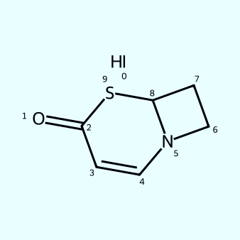 I.O=C1C=CN2CCC2S1